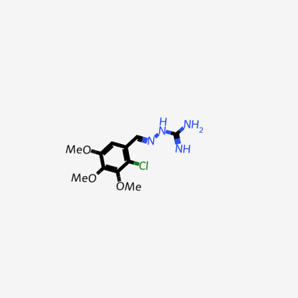 COc1cc(/C=N/NC(=N)N)c(Cl)c(OC)c1OC